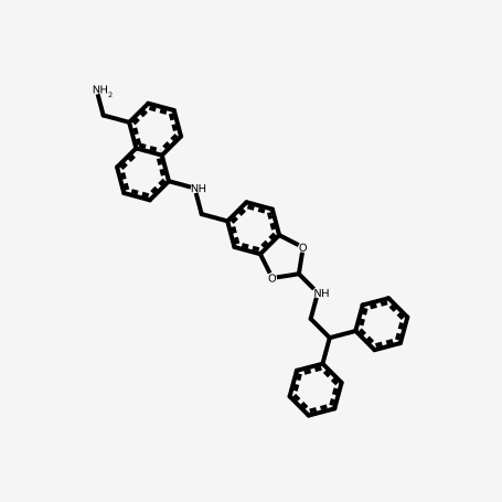 NCc1cccc2c(NCc3ccc4c(c3)OC(NCC(c3ccccc3)c3ccccc3)O4)cccc12